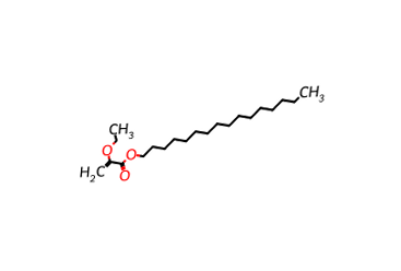 C=C(OCC)C(=O)OCCCCCCCCCCCCCCCC